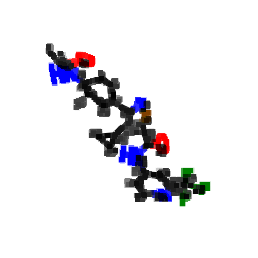 CC(=O)Nc1ccc(-c2nsc(C(=O)Nc3ccnc(C(F)(F)F)c3)c2C2CC2)cc1